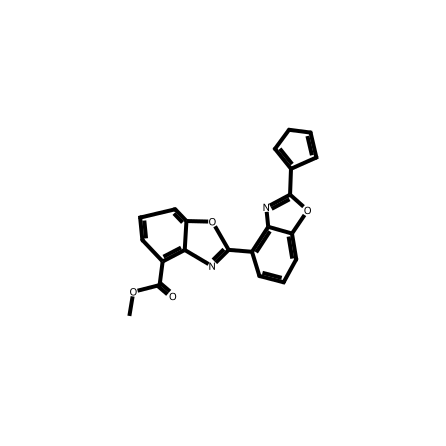 COC(=O)c1cccc2oc(-c3cccc4oc(C5=CCC=C5)nc34)nc12